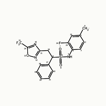 [CH2]c1ccc(NS(=O)(=O)C(Cc2noc(C(F)(F)F)n2)c2ccccc2)c(F)c1